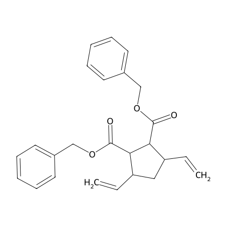 C=CC1CC(C=C)C(C(=O)OCc2ccccc2)C1C(=O)OCc1ccccc1